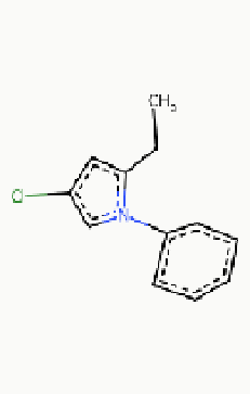 CCc1cc(Cl)cn1-c1ccccc1